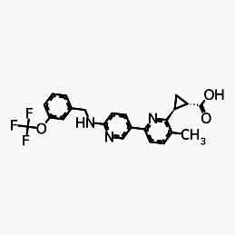 Cc1ccc(-c2ccc(NCc3cccc(OC(F)(F)F)c3)nc2)nc1[C@H]1C[C@@H]1C(=O)O